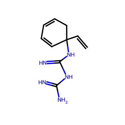 C=CC1(NC(=N)NC(=N)N)C=CC=CC1